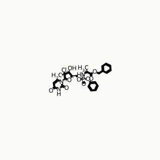 C[C@@H](N[P@](=O)(OC[C@H]1O[C@@H](n2ccc(=O)[nH]c2=O)[C@](C)(Cl)[C@@H]1O)Oc1ccccc1)C(=O)OCc1ccccc1